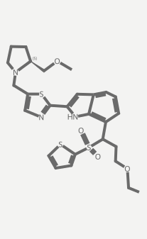 CCOCCC(c1cccc2cc(-c3ncc(CN4CCC[C@H]4COC)s3)[nH]c12)S(=O)(=O)c1cccs1